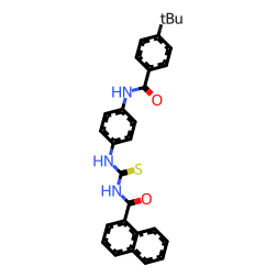 CC(C)(C)c1ccc(C(=O)Nc2ccc(NC(=S)NC(=O)c3cccc4ccccc34)cc2)cc1